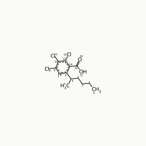 CCCCC(C)c1nc(Cl)c(Cl)c(Cl)c1C(=O)O